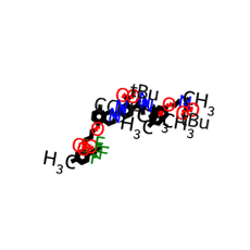 Cc1ccc(C(F)(OS(=O)(=O)CCCOc2ccc(C(=O)O)c3c2CCN(c2ccc(-c4cnn(CC56CC7(C)CC(C)(C5)CC(OCCN(C)C(=O)OC(C)(C)C)(C7)C6)c4C)c(C(=O)OC(C)(C)C)n2)C3)C(F)F)cc1